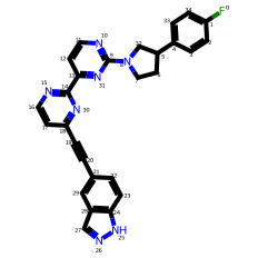 Fc1ccc(C2CCN(c3nccc(-c4nccc(C#Cc5ccc6[nH]ncc6c5)n4)n3)C2)cc1